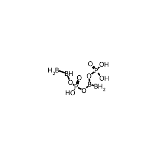 BBOP(=O)(O)OB(B)OP(=O)(O)O